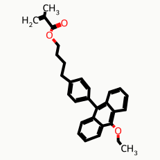 C=C(C)C(=O)OCCCCc1ccc(-c2c3ccccc3c(OCC)c3ccccc23)cc1